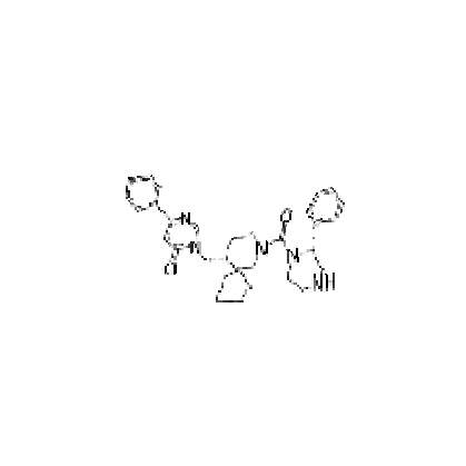 O=C(N1CC[C@@H](Cn2cnc(-c3ccccc3)cc2=O)C2(CCCC2)C1)N1CCNC[C@H]1c1ccccc1